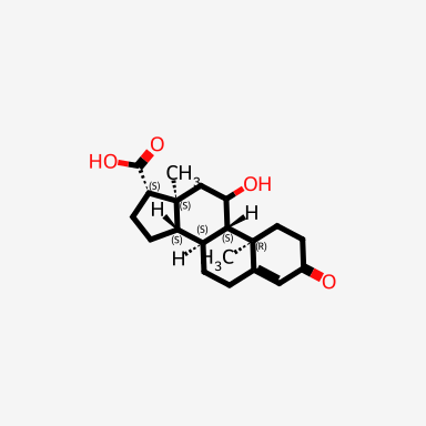 C[C@]12CC(O)[C@H]3[C@@H](CCC4=CC(=O)CC[C@@]43C)[C@@H]1CC[C@@H]2C(=O)O